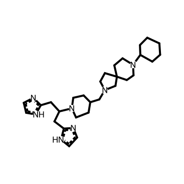 c1c[nH]c(CC(Cc2ncc[nH]2)N2CCC(CN3CCC4(CCN(C5CCCCC5)CC4)C3)CC2)n1